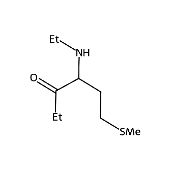 CCNC(CCSC)C(=O)CC